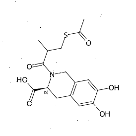 CC(=O)SCC(C)C(=O)N1Cc2cc(O)c(O)cc2C[C@H]1C(=O)O